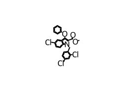 COC(=O)c1c(Oc2ccccc2)c2cc(Cl)ccc2n1Cc1ccc(Cl)cc1Cl